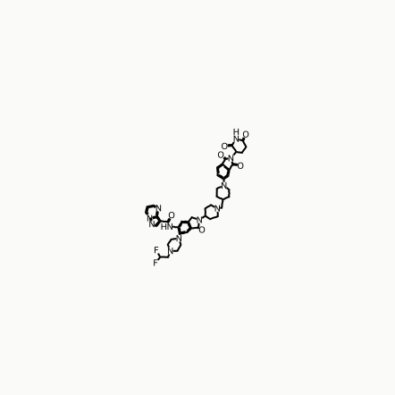 O=C1CCC(N2C(=O)c3ccc(N4CCC(CN5CCC(N6Cc7cc(NC(=O)c8cnn9cccnc89)c(N8CCN(CC(F)F)CC8)cc7C6=O)CC5)CC4)cc3C2=O)C(=O)N1